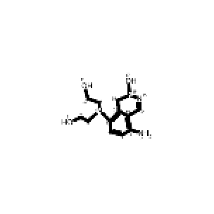 Nc1ccc(N(CCO)CCO)c2c1C=NN(O)C2